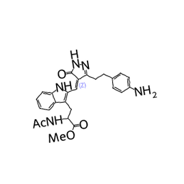 COC(=O)C(Cc1c(/C=C2\C(=O)NN=C2CCc2ccc(N)cc2)[nH]c2ccccc12)NC(C)=O